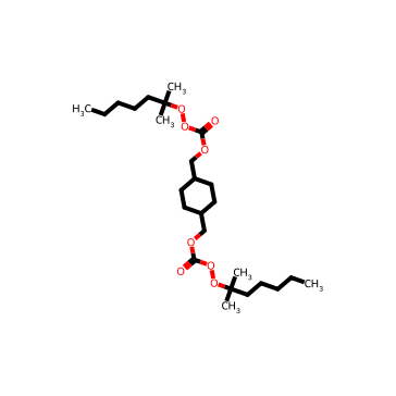 CCCCCC(C)(C)OOC(=O)OCC1CCC(COC(=O)OOC(C)(C)CCCCC)CC1